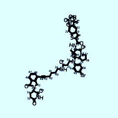 CC(C)(C)[C@H](NC(=O)c1cc2cc(C(F)(F)P(=O)(O)O)ccc2s1)C(=O)N1CCC[C@H]1C(=O)N(CCC(=O)NCCCCC#Cc1cccc2c1CN(C1CCC(=O)NC1=O)C2=O)c1ccc(Br)cc1